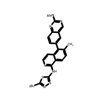 CNc1ncc2cc(-c3c(C)ccc4c(Nc5nnc(C(C)(C)C)s5)nccc34)ccc2n1